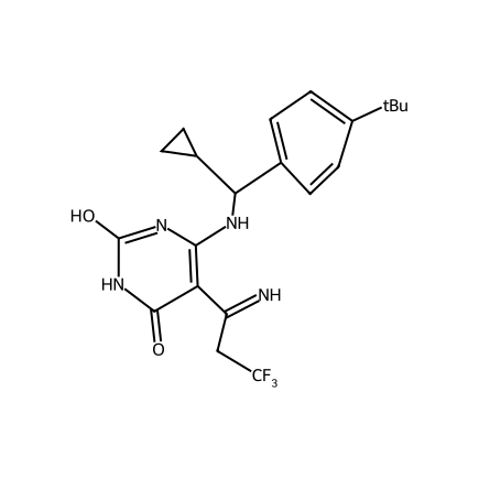 CC(C)(C)c1ccc(C(Nc2nc(O)[nH]c(=O)c2C(=N)CC(F)(F)F)C2CC2)cc1